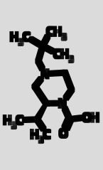 CC(C)[C@H]1CN(CC(C)(C)C)CCN1C(=O)O